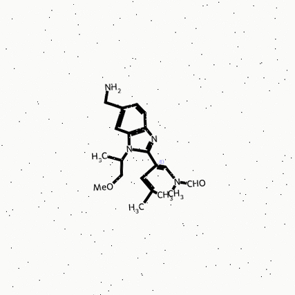 COCC(C)n1c(/C(C=C(C)C)=C/N(C)C=O)nc2ccc(CN)cc21